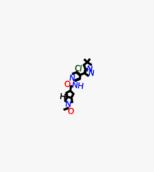 CC(=O)N1CC2CC(C(=O)Nc3cc(-c4cnn5c4CC(C)(C)C5)c(Cl)cn3)C[C@@H]2C1